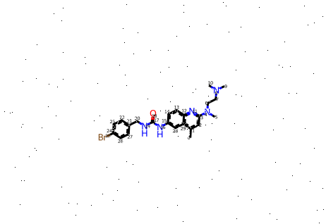 Cc1cc(N(C)CCN(C)C)nc2ccc(NC(=O)NCc3ccc(Br)cc3)cc12